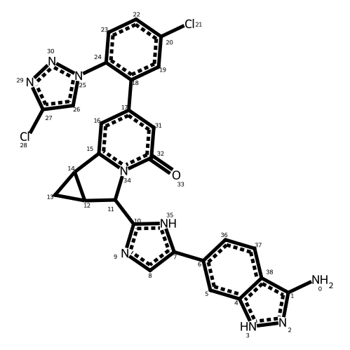 Nc1n[nH]c2cc(-c3cnc(C4C5CC5c5cc(-c6cc(Cl)ccc6-n6cc(Cl)nn6)cc(=O)n54)[nH]3)ccc12